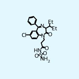 CCC(CC)C1N=C(c2ccccc2)c2cc(Cl)ccc2N(CCC(=O)NS(N)(=O)=O)C1=O